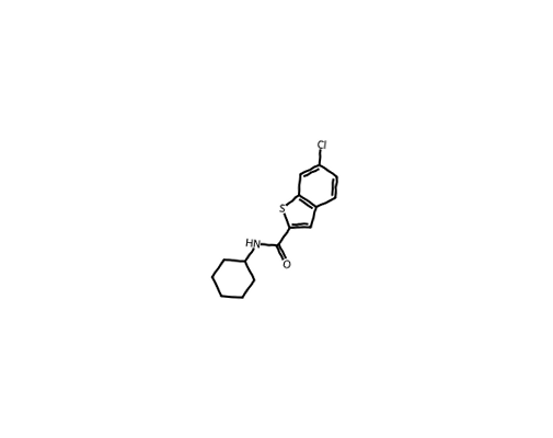 O=C(NC1CCCCC1)c1cc2ccc(Cl)cc2s1